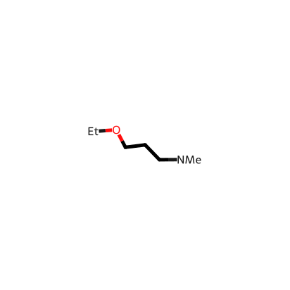 [CH2]NCCCOCC